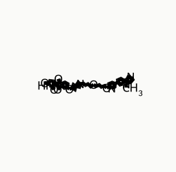 Cn1c2ccncc2c2ccc(-c3ccc(OCCCCOCCCCN4CC5(CC(Oc6ccc7c(c6)C(=O)N(C6CCC(=O)NC6=O)C7=O)C5)C4)nc3)cc21